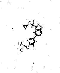 C[C@H](Oc1ncc(-c2ccc3nnc(C(F)(F)OC4CC4)n3c2)cc1F)C(F)(F)F